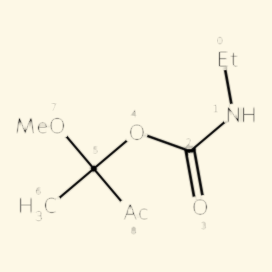 CCNC(=O)OC(C)(OC)C(C)=O